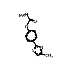 CNC(=O)Oc1ccc(-c2nc(C)cs2)cc1